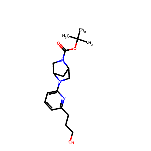 CC(C)(C)OC(=O)N1CC2CC1CN2c1cccc(CCCO)n1